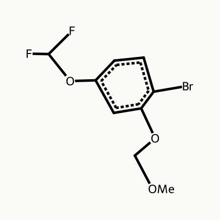 COCOc1cc(OC(F)F)ccc1Br